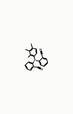 Cc1ccc(P(c2ccccc2C#N)c2ccccc2C#N)c(C)c1C